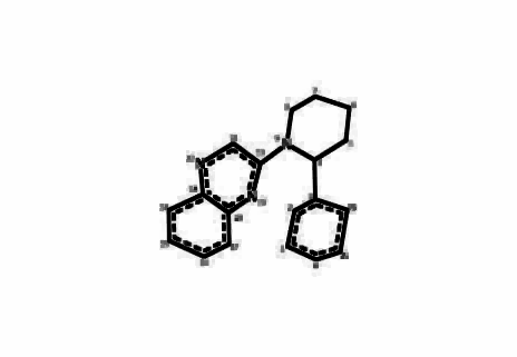 c1ccc(C2CCCCN2c2cnc3ccccc3n2)cc1